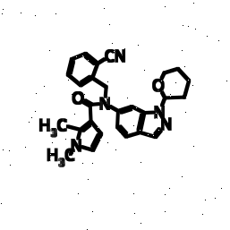 Cc1c(C(=O)N(Cc2ccccc2C#N)c2ccc3cnn(C4CCCCO4)c3c2)ccn1C